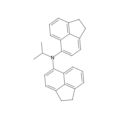 CC(C)N(c1ccc2c3c(cccc13)CC2)c1ccc2c3c(cccc13)CC2